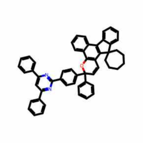 C1=CC(c2ccccc2)(c2ccc(-c3nc(-c4ccccc4)cc(-c4ccccc4)n3)cc2)Oc2c1c1c(c3ccccc23)-c2ccccc2C12CCCCCC2